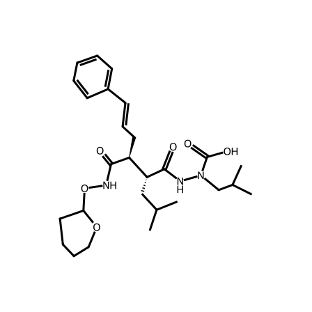 CC(C)C[C@@H](C(=O)NN(CC(C)C)C(=O)O)[C@H](CC=Cc1ccccc1)C(=O)NOC1CCCCO1